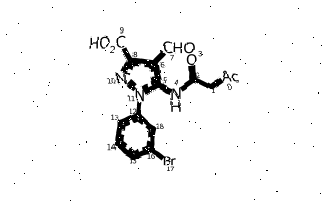 CC(=O)CC(=O)Nc1c(C=O)c(C(=O)O)nn1-c1cccc(Br)c1